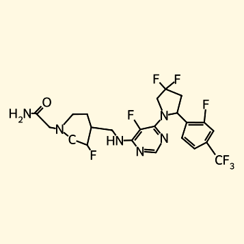 NC(=O)CN1CCC(CNc2ncnc(N3CC(F)(F)CC3c3ccc(C(F)(F)F)cc3F)c2F)C(F)C1